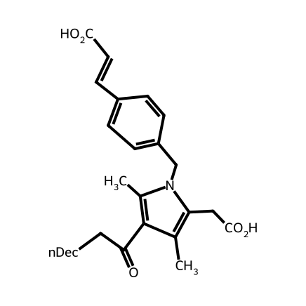 CCCCCCCCCCCC(=O)c1c(C)c(CC(=O)O)n(Cc2ccc(C=CC(=O)O)cc2)c1C